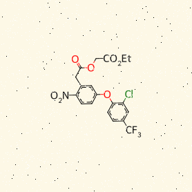 CCOC(=O)COC(=O)Cc1cc(Oc2ccc(C(F)(F)F)cc2Cl)ccc1[N+](=O)[O-]